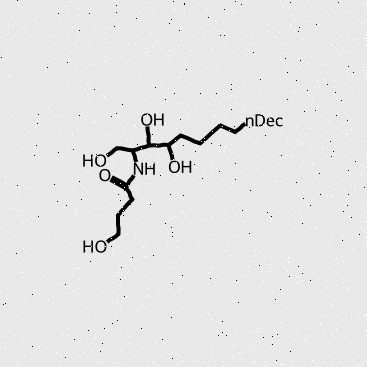 CCCCCCCCCCCCCCC(O)C(O)C(CO)NC(=O)CCCO